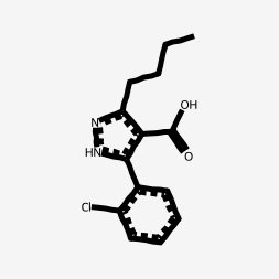 CCCCc1n[nH]c(-c2ccccc2Cl)c1C(=O)O